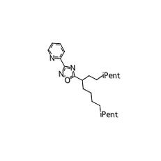 CCCC(C)CCCCC(CCC(C)CCC)c1nc(-c2ccccn2)no1